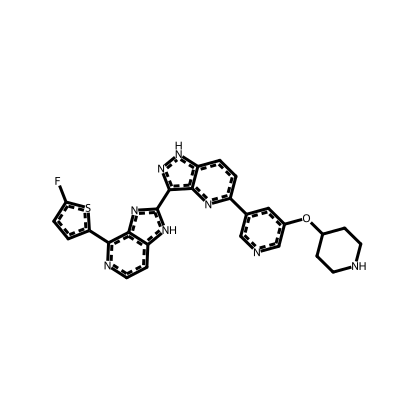 Fc1ccc(-c2nccc3[nH]c(-c4n[nH]c5ccc(-c6cncc(OC7CCNCC7)c6)nc45)nc23)s1